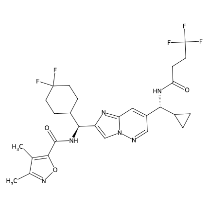 Cc1noc(C(=O)N[C@H](c2cn3ncc([C@H](NC(=O)CCC(F)(F)F)C4CC4)cc3n2)C2CCC(F)(F)CC2)c1C